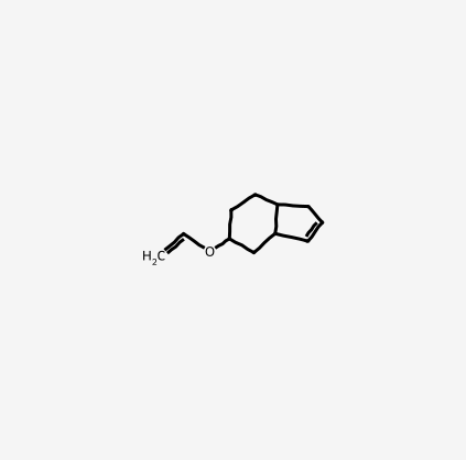 C=COC1CCC2CC=CC2C1